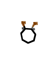 S[C@@H]1CCCCC[C@H]1S